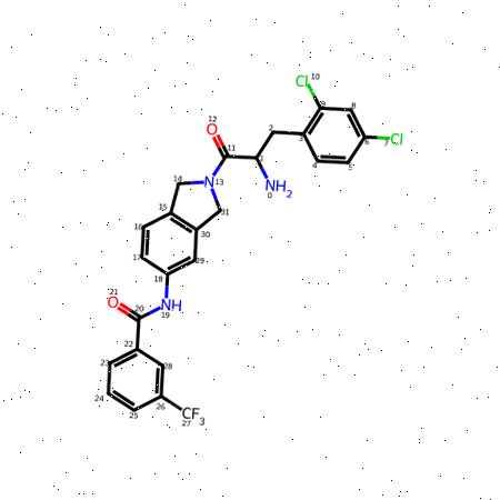 NC(Cc1ccc(Cl)cc1Cl)C(=O)N1Cc2ccc(NC(=O)c3cccc(C(F)(F)F)c3)cc2C1